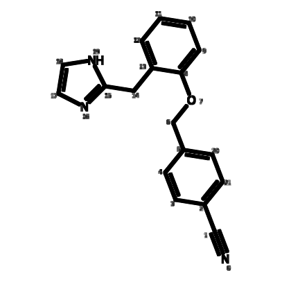 N#Cc1ccc(COc2ccccc2Cc2ncc[nH]2)cc1